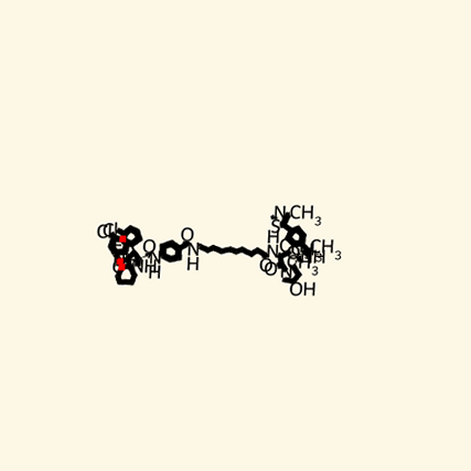 Cc1ncsc1-c1ccc([C@H](C)NC(=O)[C@@H]2C[C@@H](O)CN2C(=O)C(NC(=O)CCCCCCCCCNC(=O)c2ccc(NC(=O)[C@@H]3NC4(CCCCC4)[C@@]4(C(=O)Nc5cc(Cl)ccc54)[C@H]3c3cccc(Cl)c3F)cc2)C(C)(C)C)cc1